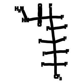 NNS(=O)(=O)C(F)(F)C(F)(F)C(F)(F)C(F)(F)C(F)(F)C(F)(F)F